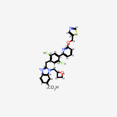 O=C(O)c1ccc2nc(Cc3cc(F)c(-c4cccc(OCc5cncs5)n4)cc3F)n(CC3CCO3)c2c1